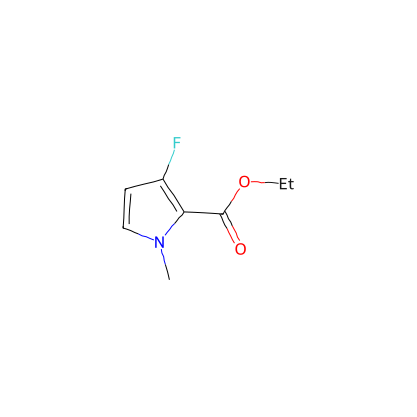 CCOC(=O)c1c(F)ccn1C